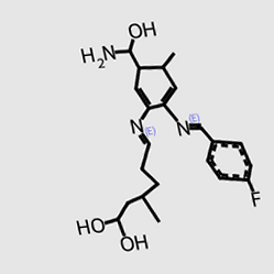 CC(CC/C=N/C1=CC(C(N)O)C(C)C=C1/N=C/c1ccc(F)cc1)CC(O)O